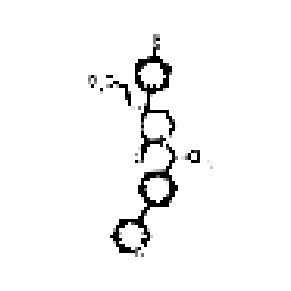 C[C@@H](c1ccc(-c2cccnc2)cc1)N1CC[C@](CCC(=O)O)(c2ccc(F)cc2)OC1=O